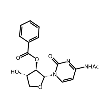 CC(=O)Nc1ccn([C@@H]2OC[C@H](O)[C@H]2OC(=O)c2ccccc2)c(=O)n1